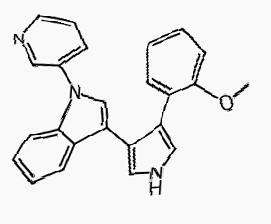 COc1ccccc1-c1c[nH]cc1-c1cn(-c2cccnc2)c2ccccc12